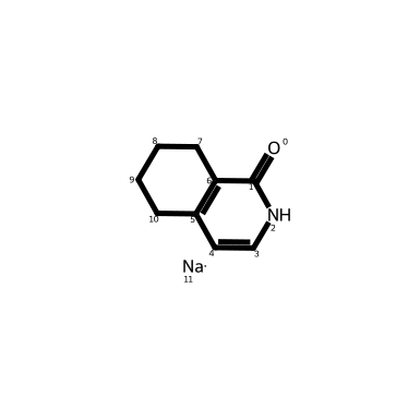 O=c1[nH]ccc2c1CCCC2.[Na]